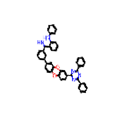 N=C(c1cccc(-c2ccc3c(c2)Oc2cc(-c4nc(-c5ccccc5)nc(-c5ccccc5)n4)ccc2O3)c1)c1ccccc1Nc1ccccc1